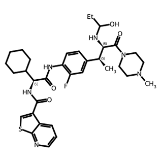 CCC(O)N[C@@H](C(=O)N1CCN(C)CC1)[C@@H](C)c1ccc(NC(=O)[C@@H](NC(=O)c2csc3ncccc23)C2CCCCC2)c(F)c1